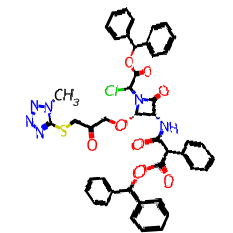 Cn1nnnc1SCC(=O)CO[C@H]1[C@@H](NC(=O)C(C(=O)OC(c2ccccc2)c2ccccc2)c2ccccc2)C(=O)N1C(Cl)C(=O)OC(c1ccccc1)c1ccccc1